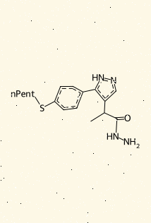 CCCCCSc1ccc(-c2[nH]ncc2C(C)C(=O)NN)cc1